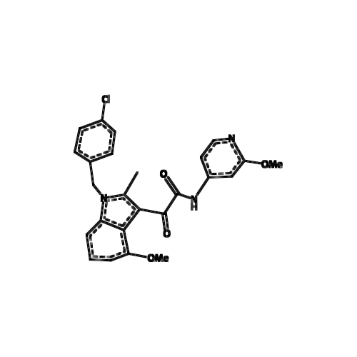 COc1cc(NC(=O)C(=O)c2c(C)n(Cc3ccc(Cl)cc3)c3cccc(OC)c23)ccn1